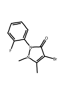 Cc1c(Br)c(=O)n(-c2ccccc2F)n1C